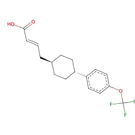 O=C(O)/C=C/C[C@H]1CC[C@H](c2ccc(OC(F)(F)F)cc2)CC1